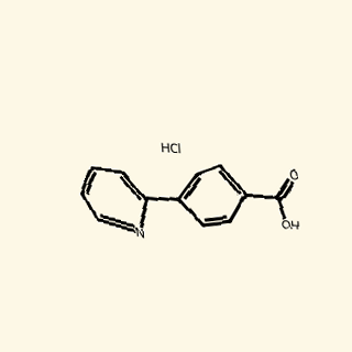 Cl.O=C(O)c1ccc(-c2ccccn2)cc1